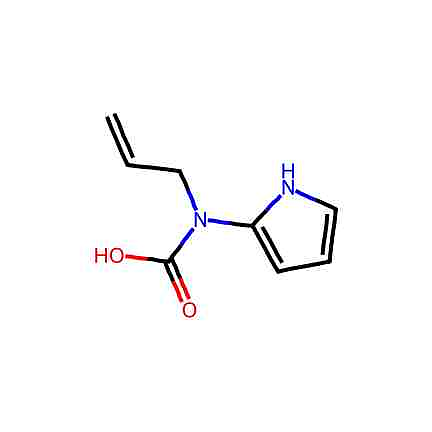 C=CCN(C(=O)O)c1ccc[nH]1